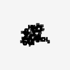 Cc1ncc(C2N=CC3=C(N(C4COC4)CCO3)N2CCc2c[nH]c3ccccc23)s1